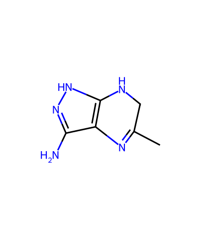 CC1=Nc2c(N)n[nH]c2NC1